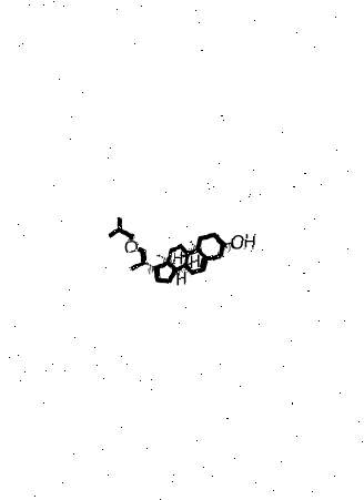 CC(C)COCC(C)[C@H]1CC[C@H]2[C@@H]3CC=C4C[C@@H](O)CC[C@]4(C)[C@H]3CC[C@]12C